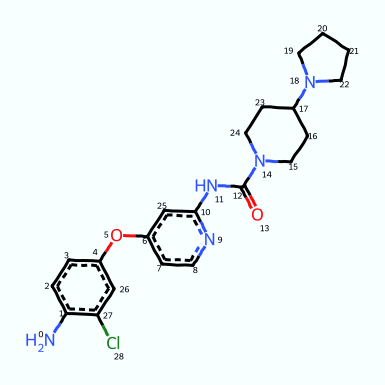 Nc1ccc(Oc2ccnc(NC(=O)N3CCC(N4CCCC4)CC3)c2)cc1Cl